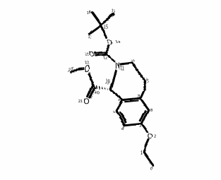 CCOc1ccc2c(c1)CCN(C(=O)OC(C)(C)C)[C@H]2C(=O)OC